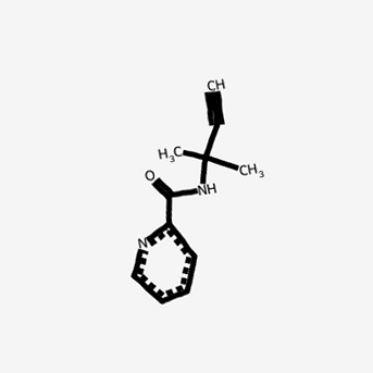 C#CC(C)(C)NC(=O)c1ccccn1